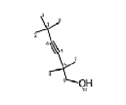 CC(C)(C)C#CC(C)(C)CO